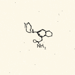 CN1CCN(c2cc3c(c(CC(N)=O)c2)CCCC3)CC1